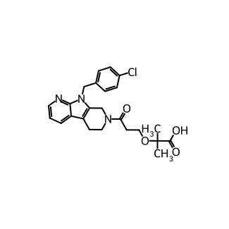 CC(C)(OCCC(=O)N1CCc2c(n(Cc3ccc(Cl)cc3)c3ncccc23)C1)C(=O)O